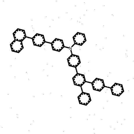 c1ccc(-c2ccc(-c3cc(-c4ccc(N(c5ccccc5)c5ccc(-c6ccc(-c7cccc8ccccc78)cc6)cc5)cc4)ccc3-c3ccccc3)cc2)cc1